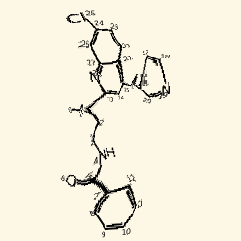 CN(CCNC(=O)c1ccccc1)c1cc(-n2ccnc2)c2ccc(Cl)cc2n1